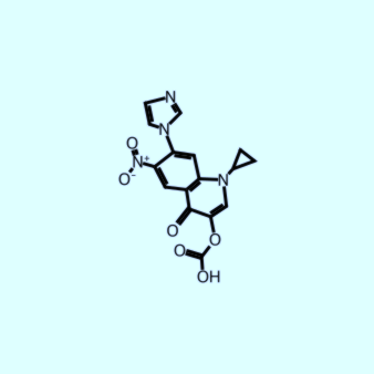 O=C(O)Oc1cn(C2CC2)c2cc(-n3ccnc3)c([N+](=O)[O-])cc2c1=O